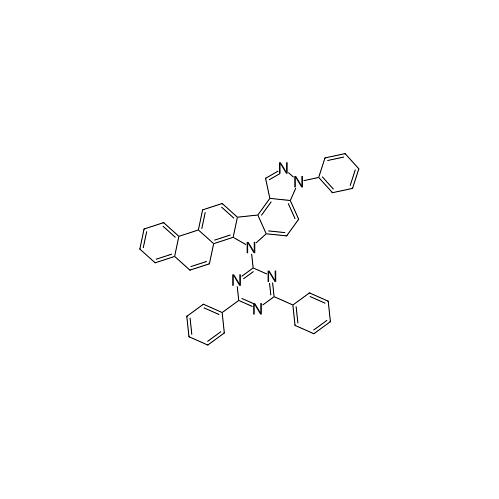 c1ccc(-c2nc(-c3ccccc3)nc(-n3c4ccc5c(cnn5-c5ccccc5)c4c4ccc5c6ccccc6ccc5c43)n2)cc1